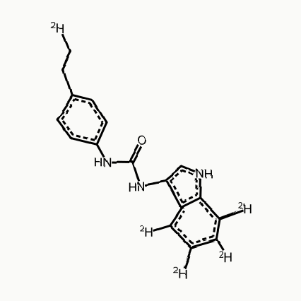 [2H]CCc1ccc(NC(=O)Nc2c[nH]c3c([2H])c([2H])c([2H])c([2H])c23)cc1